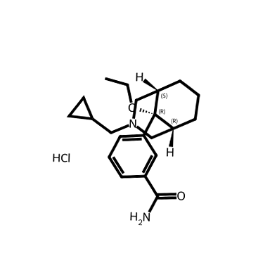 CCO[C@@]1(c2cccc(C(N)=O)c2)[C@@H]2CCC[C@H]1CN(CC1CC1)C2.Cl